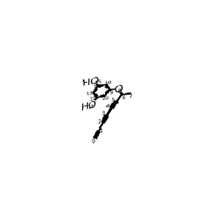 C#CC#CC#CC(C)Oc1cc(O)cc(O)c1